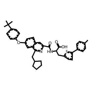 Cc1ccc(-c2ccc(CC(NC(=O)c3cc4ccc(Oc5ccc(C(C)(C)C)cc5)cc4c(CC4CCCC4)n3)C(=O)O)s2)cc1